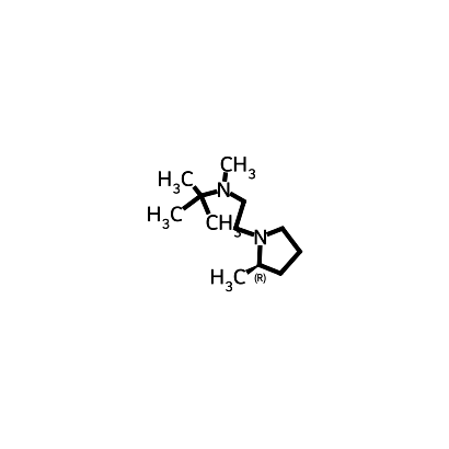 C[C@@H]1CCCN1CCN(C)C(C)(C)C